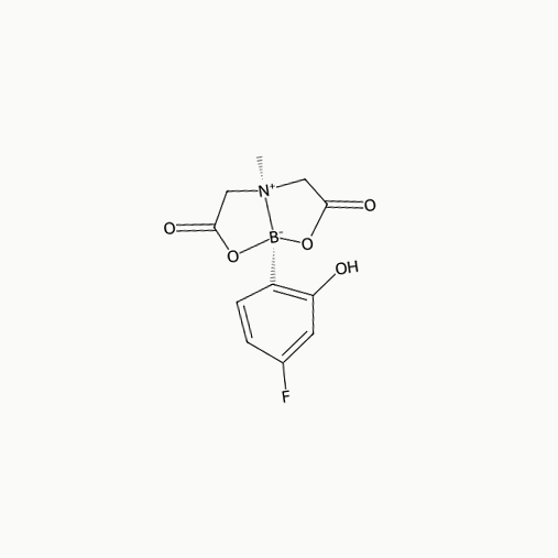 C[N@+]12CC(=O)O[B@@-]1(c1ccc(F)cc1O)OC(=O)C2